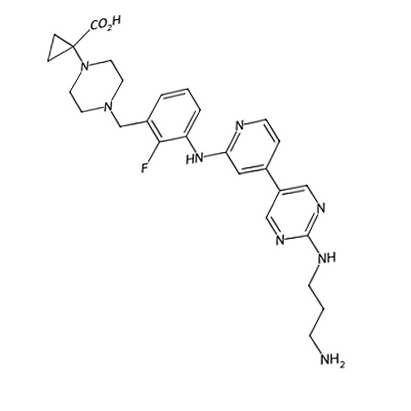 NCCCNc1ncc(-c2ccnc(Nc3cccc(CN4CCN(C5(C(=O)O)CC5)CC4)c3F)c2)cn1